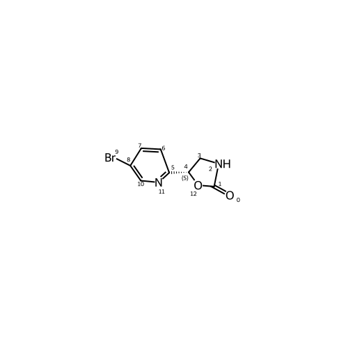 O=C1NC[C@@H](c2ccc(Br)cn2)O1